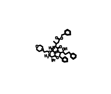 CC(C)[C@H](N)C(=O)N(C(=O)OCCN1CCOCC1)N(C(=O)[C@@H](N)C(C)CC(=O)OCc1ccccc1)C(Cc1ccccc1)C(O)CCc1ccccc1